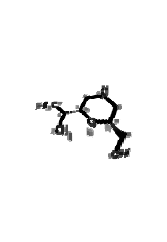 CC(C)[C@@H]1CNC[C@@H](CO)O1